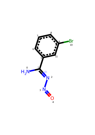 N/C(=N\N=O)c1cccc(Br)c1